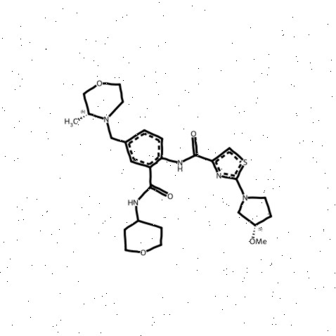 CO[C@H]1CCN(c2nc(C(=O)Nc3ccc(CN4CCOC[C@H]4C)cc3C(=O)NC3CCOCC3)cs2)C1